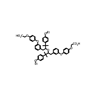 CCOc1ccc(C(C)(C)C(Cc2cccc(Oc3ccc(OCC(=O)O)cc3)c2)OC(Cc2cccc(Oc3ccc(OCC(=O)O)cc3)c2)C(C)(C)c2ccc(OCC)cc2)cc1